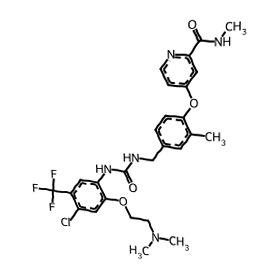 CNC(=O)c1cc(Oc2ccc(CNC(=O)Nc3cc(C(F)(F)F)c(Cl)cc3OCCN(C)C)cc2C)ccn1